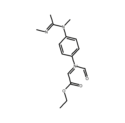 CCOC(=O)C=[N+](C=O)c1ccc(N(C)C(C)=NC)cc1